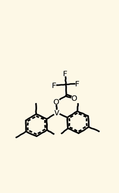 Cc1cc(C)[c]([V]([O]C(=O)C(F)(F)F)[c]2c(C)cc(C)cc2C)c(C)c1